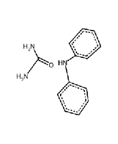 NC(N)=O.c1ccc(Nc2ccccc2)cc1